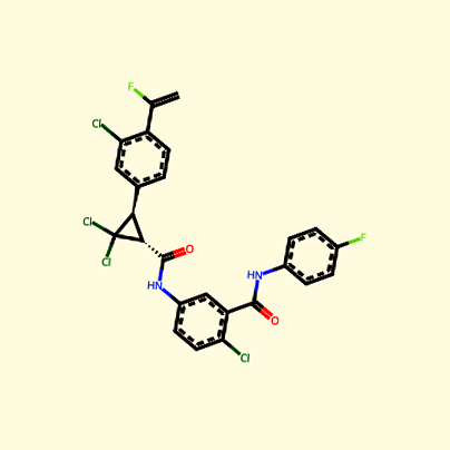 C=C(F)c1ccc([C@H]2[C@H](C(=O)Nc3ccc(Cl)c(C(=O)Nc4ccc(F)cc4)c3)C2(Cl)Cl)cc1Cl